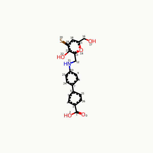 O=C(O)c1ccc(-c2ccc(NCc3oc(CO)cc(=S)c3O)cc2)cc1